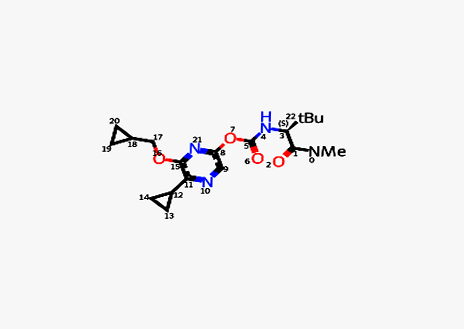 CNC(=O)[C@@H](NC(=O)Oc1cnc(C2CC2)c(OCC2CC2)n1)C(C)(C)C